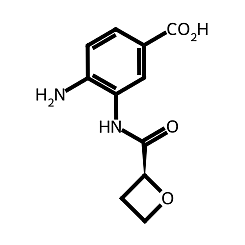 Nc1ccc(C(=O)O)cc1NC(=O)[C@@H]1CCO1